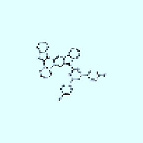 Fc1ccc(-c2cc(-c3ccc(F)cc3)nc(-n3c4ccccc4c4cc5c(cc43)c3ccccc3c3nc4ccccc4n53)n2)cc1